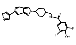 O=C(NCC1CCC(n2cc3ccc(-c4cnsc4)cc3n2)CC1)c1cc(F)c(O)c(F)c1